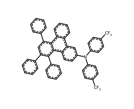 FC(F)(F)c1ccc(N(c2ccc(C(F)(F)F)cc2)c2ccc3c(c2)c2ccccc2c2c(-c4ccccc4)cc(-c4ccccc4)c(-c4ccccc4)c32)cc1